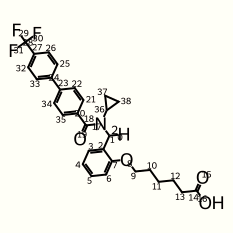 [2H]C(c1ccccc1OCCCCCC(=O)O)N(C(=O)c1ccc(-c2ccc(C(F)(F)F)cc2)cc1)C1CC1